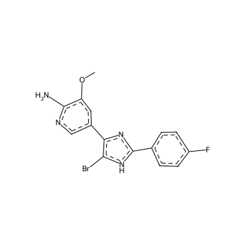 COc1cc(-c2nc(-c3ccc(F)cc3)[nH]c2Br)cnc1N